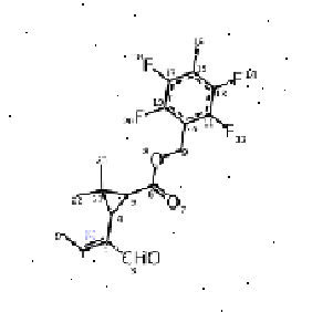 C/C=C(/C=O)C1C(C(=O)OCc2c(F)c(F)c(C)c(F)c2F)C1(C)C